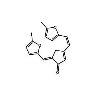 Cc1ccc(/C=C\C2=CC(=O)/C(=C/c3ccc(C)o3)C2)o1